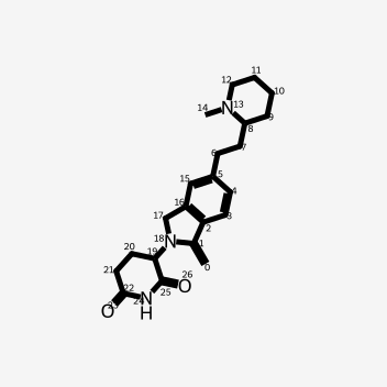 C=C1c2ccc(CCC3CCCCN3C)cc2CN1C1CCC(=O)NC1=O